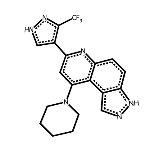 FC(F)(F)c1n[nH]cc1-c1cc(N2CCCCC2)c2c(ccc3[nH]ncc32)n1